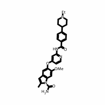 CCN1CCC(c2ccc(C(=O)Nc3cc(Oc4cc5cc(C)n(C(N)=O)c5cc4OC)ccn3)cc2)CC1